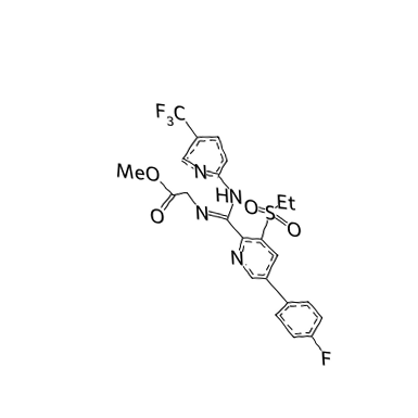 CCS(=O)(=O)c1cc(-c2ccc(F)cc2)cnc1C(=NCC(=O)OC)Nc1ccc(C(F)(F)F)cn1